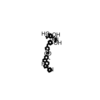 CC(C)c1cc(-c2nnc(O)n2-c2ccc(CC3CCN(C(=O)O[C@@H]4CC5=CC[C@@H]6C(CC[C@]7(C)C(c8cccnc8)=CCC67)C5[C@H](C)C4)CC3)cc2)c(O)cc1O